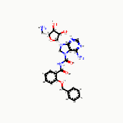 NC[C@H]1O[C@@H](N2CN(C(=O)NC(=O)c3ccccc3OCc3ccccc3)c3c(N)ncnc32)C(O)C1O